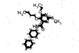 CCCCOc1c(OCC)nc(SC)nc1C(=O)N[C@H]1CC[C@@H](c2ccccc2)CC1